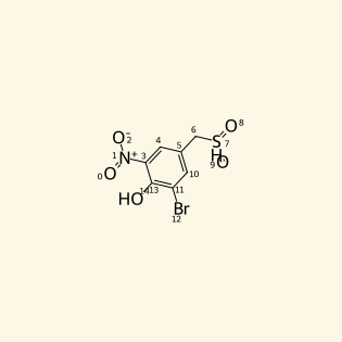 O=[N+]([O-])c1cc(C[SH](=O)=O)cc(Br)c1O